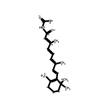 CC1=C(/C=C/C(C)=C/C=C/C(C)=C/C(=O)NC(=O)S)C(C)(C)CCC1